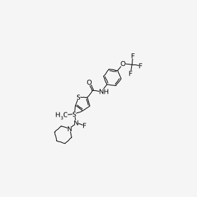 CS1(N(F)N2CCCCC2)c2cc(C(=O)Nc3ccc(OC(F)(F)F)cc3)sc21